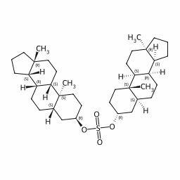 C[C@]12CCC[C@H]1[C@H]1CC[C@H]3C[C@H](OS(=O)(=O)O[C@@H]4CC[C@@]5(C)[C@@H](CC[C@@H]6[C@@H]7CCC[C@]7(C)CC[C@@H]65)C4)CC[C@]3(C)[C@H]1CC2